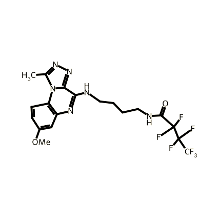 COc1ccc2c(c1)nc(NCCCCNC(=O)C(F)(F)C(F)(F)C(F)(F)F)c1nnc(C)n12